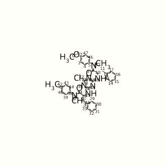 COc1ccc(N(C)C(=O)[C@H](Cc2ccccc2)Nc2nc(Cl)nc(N[C@@H](Cc3ccccc3)C(=O)N(C)c3ccc(C)cc3)n2)cc1